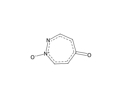 O=c1ccn[n+]([O-])cc1